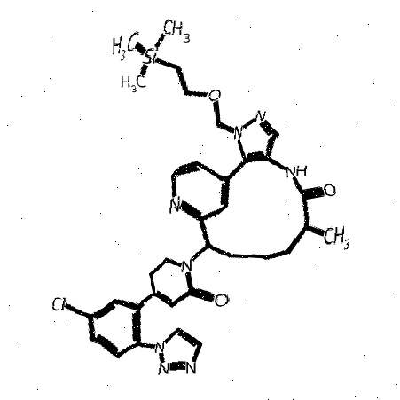 CC1CCCC(N2CCC(c3cc(Cl)ccc3-n3ccnn3)=CC2=O)c2cc(ccn2)-c2c(cnn2COCC[Si](C)(C)C)NC1=O